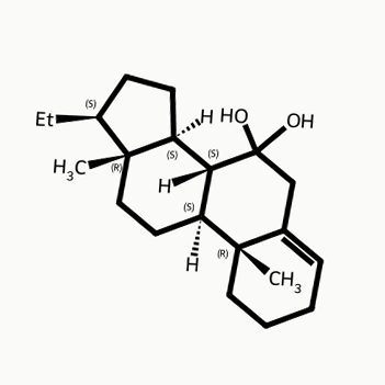 CC[C@H]1CC[C@H]2[C@H]3[C@H](CC[C@]12C)[C@@]1(C)CCCC=C1CC3(O)O